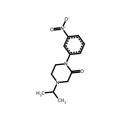 CC(C)N1CCN(c2cccc([N+](=O)[O-])c2)C(=O)C1